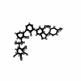 COc1nc(-c2cccc(-c3cccc(NC(=O)c4cn(C)c(=O)n(C)c4=O)c3Cl)c2C)cc2c1C(N1CCN(C(C)=O)CC1)CC2